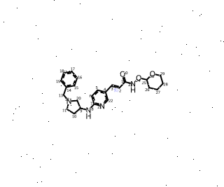 O=C(/C=C/c1ccc(NC2CCN(Cc3ccccc3)C2)nc1)NOC1CCCCO1